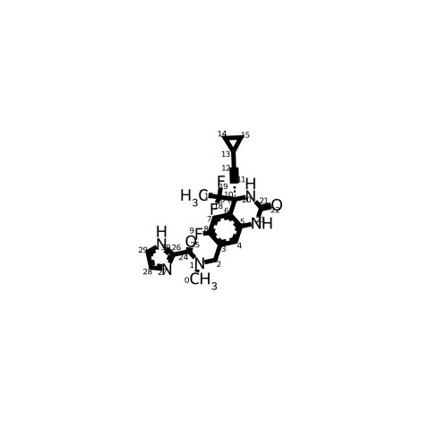 CN(Cc1cc2c(cc1F)[C@@](C#CC1CC1)(C(C)(F)F)NC(=O)N2)C(=O)c1ncc[nH]1